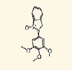 COc1cc(N2Cc3ccccc3[S+]2[O-])cc(OC)c1OC